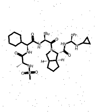 CCC[C@H](NC(=O)[C@@H]1[C@H]2CCC[C@H]2CN1C(=O)[C@@H](NC(=O)[C@@H](NC(=O)[C@@H](C)NS(C)(=O)=O)C1CCCCC1)C(C)(C)C)NC1CC1